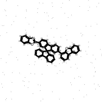 c1ccc2c(c1)-c1ccccc1C21c2cc(-c3nc4ccccc4o3)ccc2-c2ccc(-c3cccc4c3oc3ccccc34)cc21